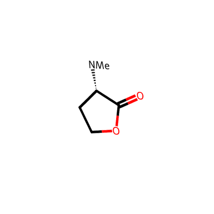 CN[C@H]1CCOC1=O